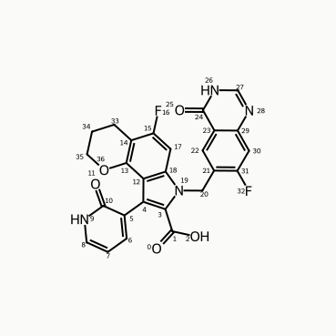 O=C(O)c1c(-c2ccc[nH]c2=O)c2c3c(c(F)cc2n1Cc1cc2c(=O)[nH]cnc2cc1F)CCCO3